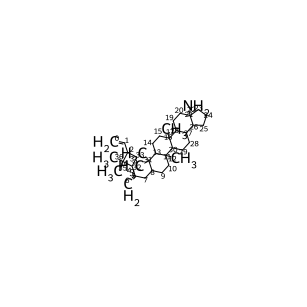 C=CC1CC(C(=C)CC2CCC3(C)C(CCC4(C)C5CCC6(N)CCCC6C5CCC43)C2(C)C)C1(C)C